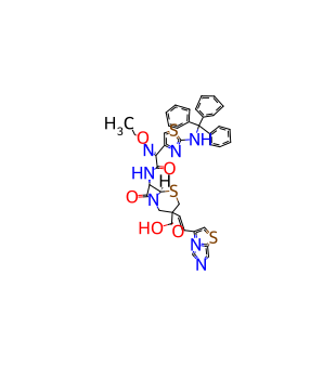 CCON=C(C(=O)N[C@@H]1C(=O)N2CC(C=Cc3csc4cncn34)(C(=O)O)CS[C@H]12)c1csc(NC(c2ccccc2)(c2ccccc2)c2ccccc2)n1